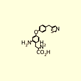 Nc1cc(Oc2ccc(Cc3cncs3)cc2)ccc1CC(N)C(=O)O